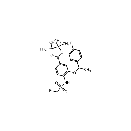 CC(Oc1cc(B2OC(C)(C)C(C)(C)O2)ccc1NS(=O)(=O)CF)c1ccc(F)cc1